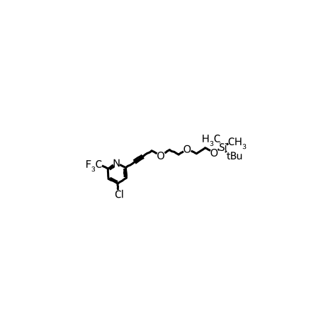 CC(C)(C)[Si](C)(C)OCCOCCOCC#Cc1cc(Cl)cc(C(F)(F)F)n1